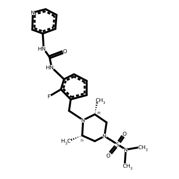 C[C@@H]1CN(S(=O)(=O)N(C)C)C[C@H](C)N1Cc1cccc(NC(=O)Nc2cccnc2)c1F